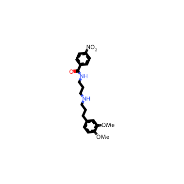 COc1ccc(CCCNCCCNC(=O)c2ccc([N+](=O)[O-])cc2)cc1OC